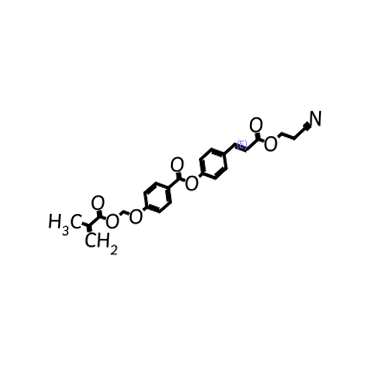 C=C(C)C(=O)OCOc1ccc(C(=O)Oc2ccc(/C=C/C(=O)OCCC#N)cc2)cc1